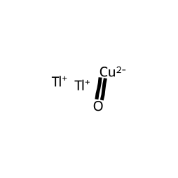 [O]=[Cu-2].[Tl+].[Tl+]